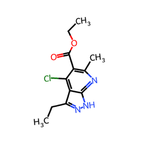 CCOC(=O)c1c(C)nc2[nH]nc(CC)c2c1Cl